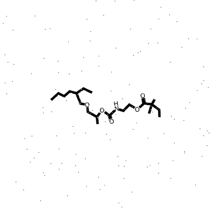 CCCCC(CC)COCC(C)OC(=O)NCCOC(=O)C(C)(C)CC